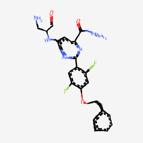 NCC(C=O)Nc1cc(C(N)=O)nc(-c2cc(F)c(OCc3ccccc3)cc2F)n1